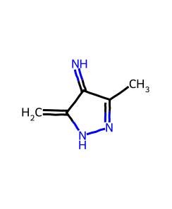 C=C1NN=C(C)C1=N